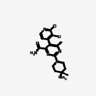 Cc1nc(N2CCC(C)(N)CC2)nc(C(N)=O)c1-c1ccnc(Cl)c1Cl